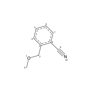 COCc1ccccc1C#N